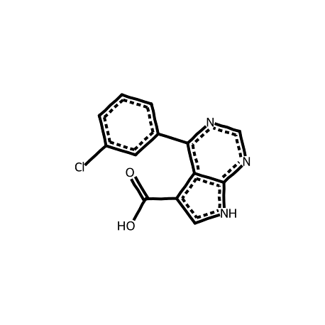 O=C(O)c1c[nH]c2ncnc(-c3cccc(Cl)c3)c12